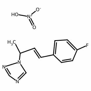 CC(C=Cc1ccc(F)cc1)n1cncn1.O=[N+]([O-])O